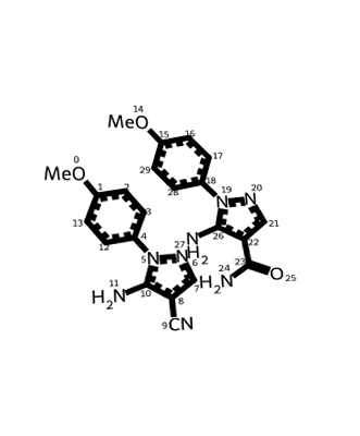 COc1ccc(-n2ncc(C#N)c2N)cc1.COc1ccc(-n2ncc(C(N)=O)c2N)cc1